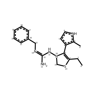 CCC1=C(c2cc[nH]c2C)N(NC(N)=NCc2ccccc2)CS1